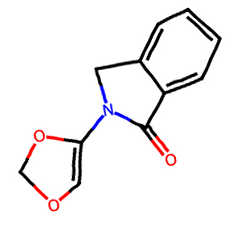 O=C1c2ccccc2CN1C1=COCO1